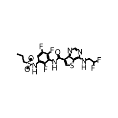 CCCS(=O)(=O)Nc1cc(F)c(F)c(NC(=O)c2csc3c(NCC(F)F)ncnc23)c1F